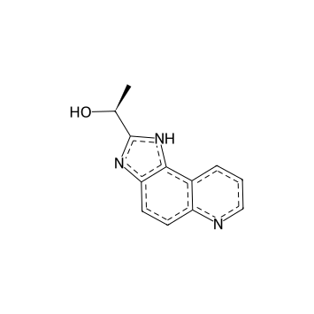 C[C@H](O)c1nc2ccc3ncccc3c2[nH]1